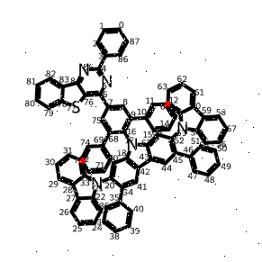 c1ccc(-c2nc(-c3cc(-c4ccccc4)c(-n4c5cc(-n6c7ccccc7c7ccccc76)c(-c6ccccc6)cc5c5cc(-c6ccccc6)c(-n6c7ccccc7c7ccccc76)cc54)c(-c4ccccc4)c3)c3sc4ccccc4c3n2)cc1